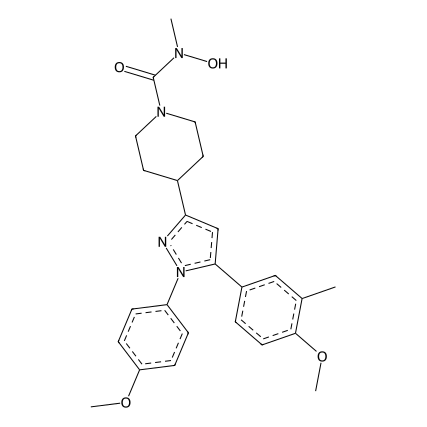 COc1ccc(-n2nc(C3CCN(C(=O)N(C)O)CC3)cc2-c2ccc(OC)c(C)c2)cc1